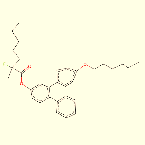 CCCCCCOc1ccc(-c2cc(OC(=O)C(C)(F)CCCCC)ccc2-c2ccccc2)cc1